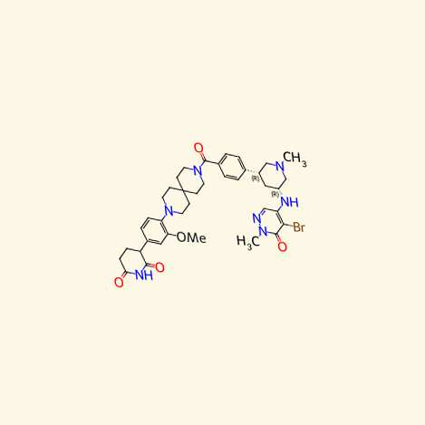 COc1cc(C2CCC(=O)NC2=O)ccc1N1CCC2(CCN(C(=O)c3ccc([C@H]4C[C@@H](Nc5cnn(C)c(=O)c5Br)CN(C)C4)cc3)CC2)CC1